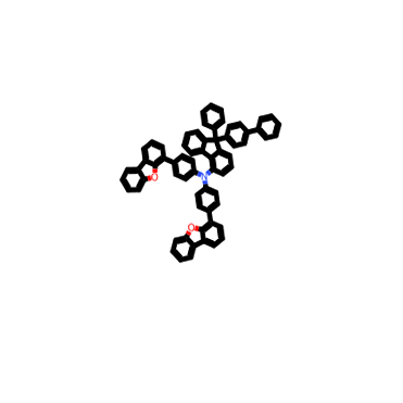 c1ccc(-c2ccc(C3(c4ccccc4)c4ccccc4-c4c(N(c5ccc(-c6cccc7c6oc6ccccc67)cc5)c5ccc(-c6cccc7c6oc6ccccc67)cc5)cccc43)cc2)cc1